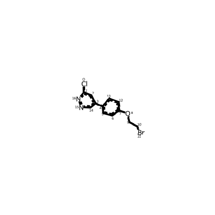 Clc1cc(-c2ccc(OCCBr)cc2)cnn1